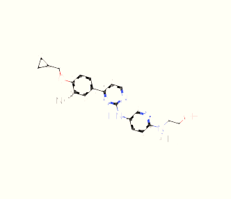 CN(CCO)c1ccc(Nc2nccc(-c3ccc(OCC4CC4)c(C#N)c3)n2)cn1